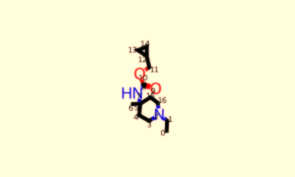 CCN1CCC(C)(NC(=O)OCC2CC2)CC1